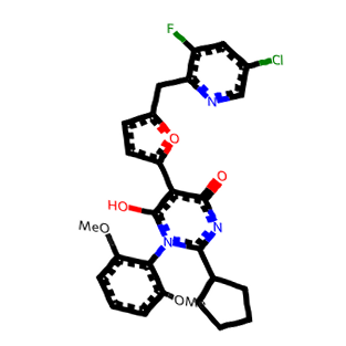 COc1cccc(OC)c1-n1c(C2CCCC2)nc(=O)c(-c2ccc(Cc3ncc(Cl)cc3F)o2)c1O